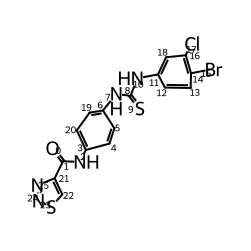 O=C(Nc1ccc(NC(=S)Nc2ccc(Br)c(Cl)c2)cc1)c1csnn1